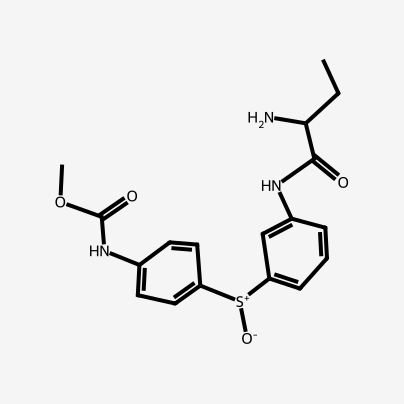 CCC(N)C(=O)Nc1cccc([S+]([O-])c2ccc(NC(=O)OC)cc2)c1